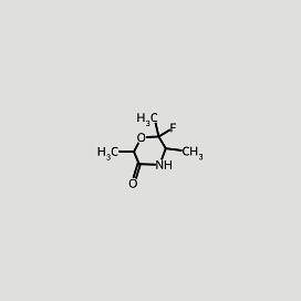 CC1OC(C)(F)C(C)NC1=O